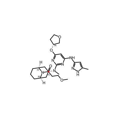 COCCC(=O)N1[C@@H]2CCC[C@H]1C[C@H](N(C)c1nc(Nc3cc(C)[nH]n3)cc(O[C@@H]3CCOC3)n1)C2